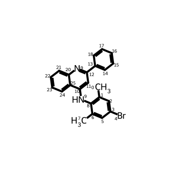 Cc1cc(Br)cc(C)c1Nc1cc(-c2ccccc2)nc2ccccc12